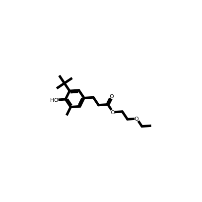 CCOCCOC(=O)CCc1cc(C)c(O)c(C(C)(C)C)c1